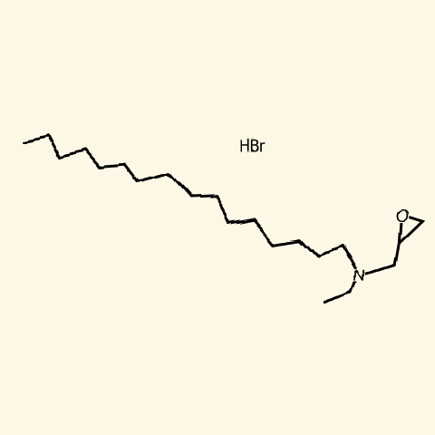 Br.CCCCCCCCCCCCCCCCN(CC)CC1CO1